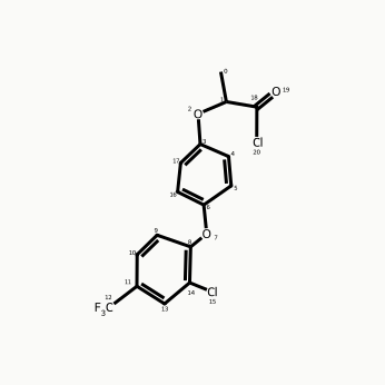 CC(Oc1ccc(Oc2ccc(C(F)(F)F)cc2Cl)cc1)C(=O)Cl